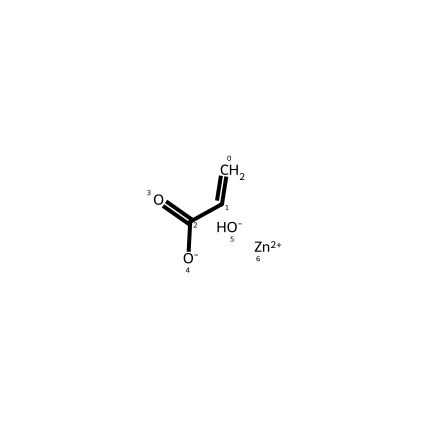 C=CC(=O)[O-].[OH-].[Zn+2]